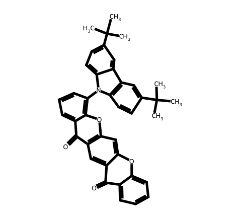 CC(C)(C)c1ccc2c(c1)c1cc(C(C)(C)C)ccc1n2-c1cccc2c(=O)c3cc4c(=O)c5ccccc5oc4cc3oc12